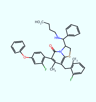 Cc1c(Cc2c(F)cccc2C(F)(F)F)c2n(c(=O)c1-c1ccc(Oc3ccccc3)cc1F)C(C(NCCCC(=O)O)c1ccccc1)CS2